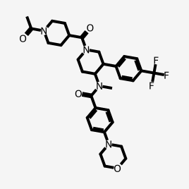 CC(=O)N1CCC(C(=O)N2CCC(N(C)C(=O)c3ccc(N4CCOCC4)cc3)C(c3ccc(C(F)(F)F)cc3)C2)CC1